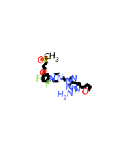 C[S+]([O-])CCCOc1cc(N2CCN(CCn3cnc4c3nc(N)n3nc(-c5ccco5)cc43)CC2)c(F)cc1F